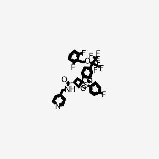 O=C(NCc1ccncc1)[C@H]1C[C@@](c2ccc(C(OCc3c(F)cccc3F)(C(F)(F)F)C(F)(F)F)cc2)(S(=O)(=O)c2ccc(F)cc2)C1